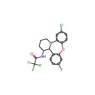 O=C(NC1CCCN2c3cc(Cl)ccc3Oc3cc(F)ccc3C12)C(F)(F)F